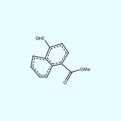 COC(=O)c1ccc([C]=O)c2ccccc12